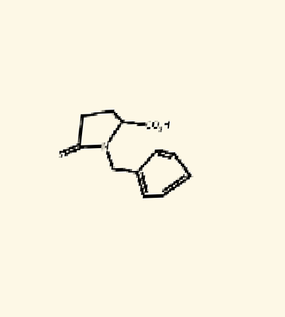 O=C(O)C1CCC(=S)N1Cc1ccccc1